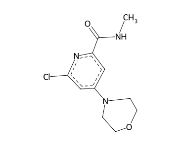 CNC(=O)c1cc(N2CCOCC2)cc(Cl)n1